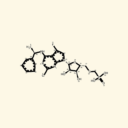 C[C@@H](Nc1nc(Cl)nc2c1c(F)cn2[C@@H]1O[C@H](COCP(=O)(O)O)[C@@H](O)[C@H]1O)c1ccccc1